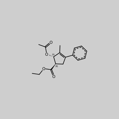 CCOC(=O)[C@@H]1CC(c2ccccc2)=C(C)[C@H]1OC(C)=O